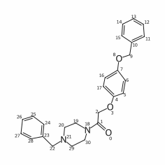 O=C(COc1ccc(OCc2ccccc2)cc1)N1CCN(Cc2ccccc2)CC1